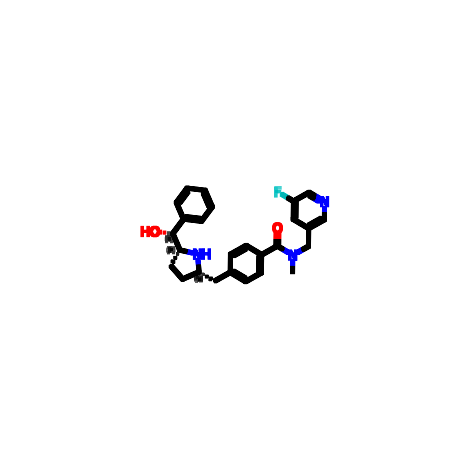 CN(Cc1cncc(F)c1)C(=O)c1ccc(C[C@@H]2CC[C@H]([C@H](O)c3ccccc3)N2)cc1